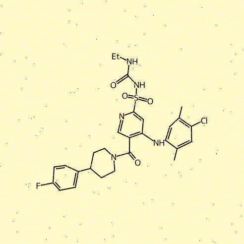 CCNC(=O)NS(=O)(=O)c1cc(Nc2cc(C)c(Cl)cc2C)c(C(=O)N2CCC(c3ccc(F)cc3)CC2)cn1